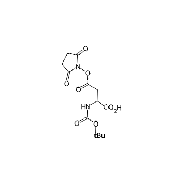 CC(C)(C)OC(=O)NC(CC(=O)ON1C(=O)CCC1=O)C(=O)O